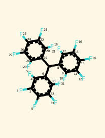 Fc1c(F)c(F)c([C](c2c(F)c(F)c(F)c(F)c2F)c2c(F)c(F)c(F)c(F)c2F)c(F)c1F